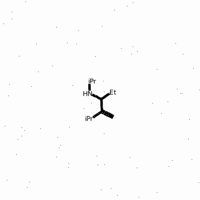 C=C(C(C)C)C(CC)NC(C)C